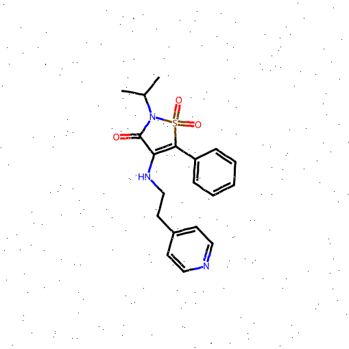 CC(C)N1C(=O)C(NCCc2ccncc2)=C(c2ccccc2)S1(=O)=O